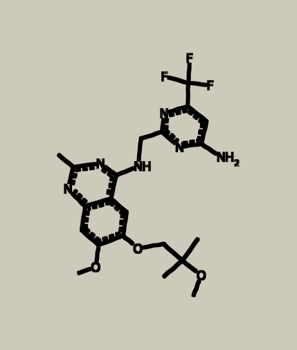 COc1cc2nc(C)nc(NCc3nc(N)cc(C(F)(F)F)n3)c2cc1OCC(C)(C)OC